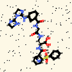 O=C(CNC(=O)c1cccc(NC2=NCCN2C2=NCCN2)c1)NC[C@@H](NC(=O)C1C2CCC(CC2)N1S(=O)(=O)c1ccccc1)C(O)O